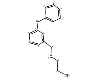 OCCOCc1cccc(Cc2ccccc2)c1